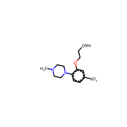 COCCOc1cc([N+](=O)[O-])ccc1N1CCN(C)CC1